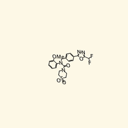 COc1ccccc1N(Cc1ccc(-c2nnc(C(F)F)o2)cc1)C(=O)N1CCS(=O)(=O)CC1